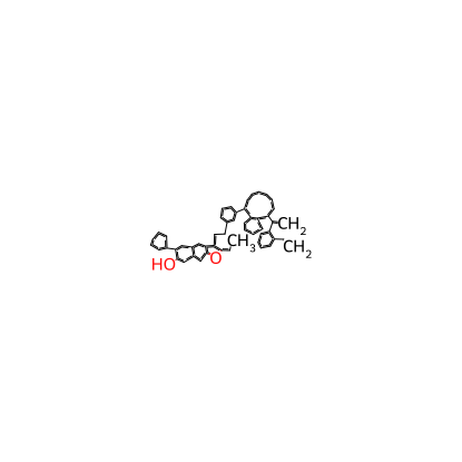 C=Cc1ccccc1C(=C)c1ccccccc(-c2cccc(C/C=c3\c(=C/C)oc4cc5cc(O)c(-c6ccccc6)cc5cc34)c2)c2ccccc12